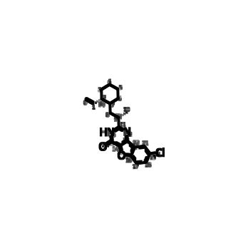 C=C[C@@H]1CCCCC1C[C@H](C)c1nc2c(oc3ccc(Cl)cc32)c(=O)[nH]1